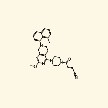 COc1nc2c(c(N3CCN(C(=O)/C=C/C#N)CC3)n1)CCN(c1cccc3cccc(C)c13)C2